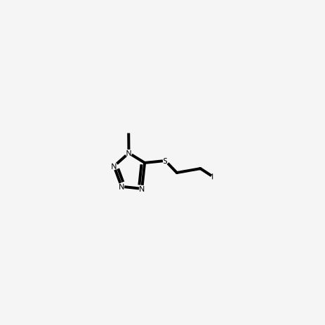 Cn1nnnc1SCCI